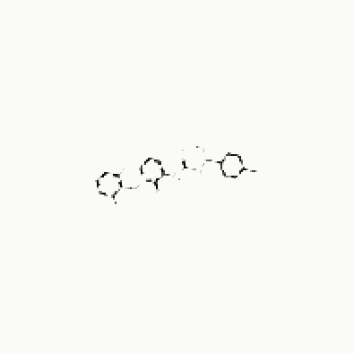 Cc1ccc([C@H](CC(=O)O)NC(=O)Nc2cccn(Cc3c(F)cccc3F)c2=O)cc1